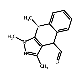 Cc1nn(C)c2c1C(C=O)c1ccccc1N2C